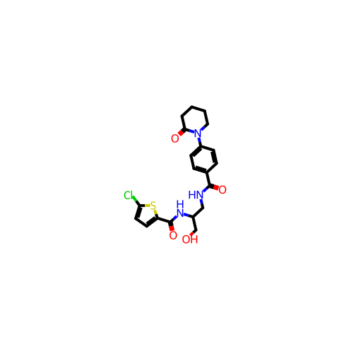 O=C(NCC(CO)NC(=O)c1ccc(Cl)s1)c1ccc(N2CCCCC2=O)cc1